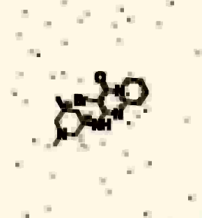 C[C@H]1C[C@@H](Nc2nc3ccccn3c(=O)c2Br)CN(C)C1